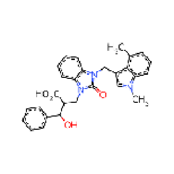 Cc1cccc2c1c(Cn1c(=O)n(CC(C(=O)O)C(O)c3ccccc3)c3ccccc31)cn2C